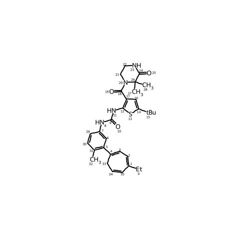 CCC1=CC=C(c2cc(NC(=O)Nc3sc(C(C)(C)C)cc3C(=O)N3CCNC(=O)C3(C)C)ccc2C)CC=C1